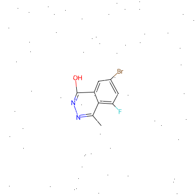 Cc1nnc(O)c2cc(Br)cc(F)c12